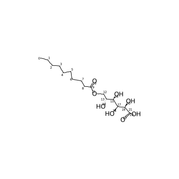 CCCCCCCCCC(=O)OC[C@@H](O)[C@@H](O)[C@H](O)[C@@H](O)C(=O)O